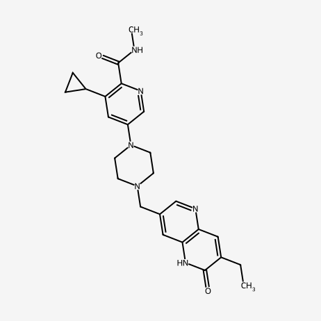 CCc1cc2ncc(CN3CCN(c4cnc(C(=O)NC)c(C5CC5)c4)CC3)cc2[nH]c1=O